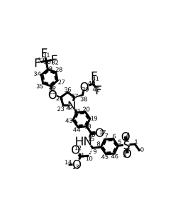 CCS(=O)(=O)c1ccc([C@H](CC(=O)OC)NC(=O)c2ccc(N3C[C@@H](Oc4ccc(C(F)(F)F)cc4)C[C@H]3COC(F)F)cc2)cc1